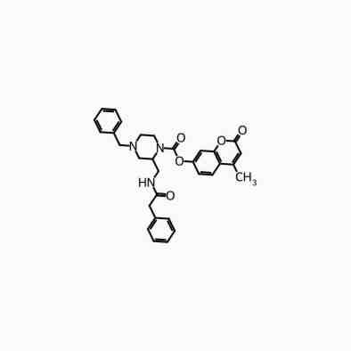 Cc1cc(=O)oc2cc(OC(=O)N3CCN(Cc4ccccc4)CC3CNC(=O)Cc3ccccc3)ccc12